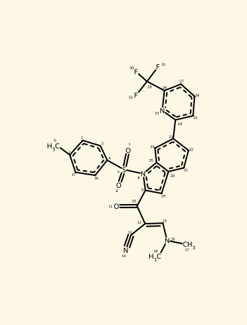 Cc1ccc(S(=O)(=O)n2c(C(=O)C(C#N)=CN(C)C)cc3ccc(-c4cccc(C(F)(F)F)n4)cc32)cc1